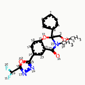 COCC1(c2ccccc2)Oc2ccc(-c3nnc(C(F)F)o3)cc2C(=O)N1C